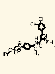 CC(C)OC(=O)CS(=O)(=O)c1ccc([C@@H](C)NC(=O)c2cc(-c3ccc(Cl)c(Cl)c3)nn2C)cc1